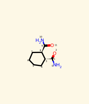 NC(=O)[C@@H]1CCCC[C@H]1C(N)=O